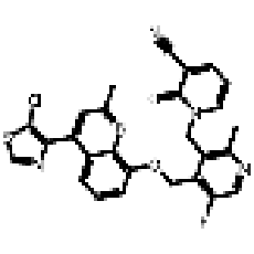 Cc1cc(-c2ncsc2Cl)c2cccc(OCc3c(F)cnc(C)c3Cn3cccc(C#N)c3=O)c2n1